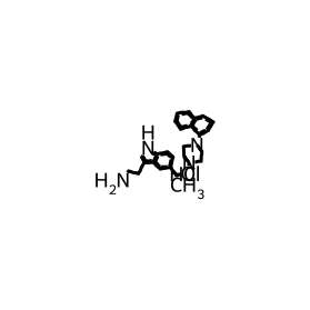 CC(ON1CCN(c2cccc3ccccc23)CC1)c1ccc2[nH]cc(CCN)c2c1.Cl